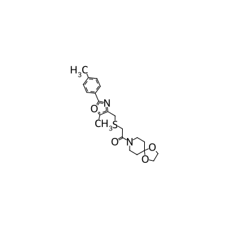 Cc1ccc(-c2nc(CSCC(=O)N3CCC4(CC3)OCCO4)c(C)o2)cc1